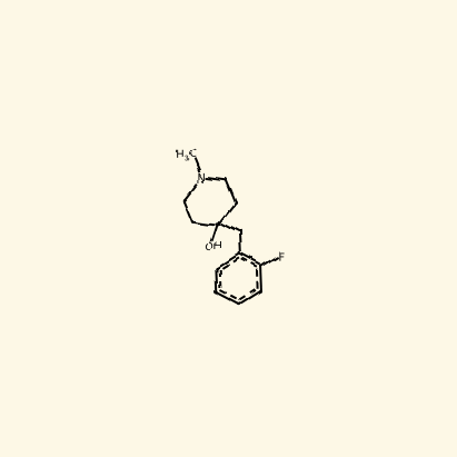 CN1CCC(O)(Cc2ccccc2F)CC1